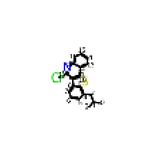 CC(C)Cc1cccc2c1sc1c3ccccc3nc(Cl)c21